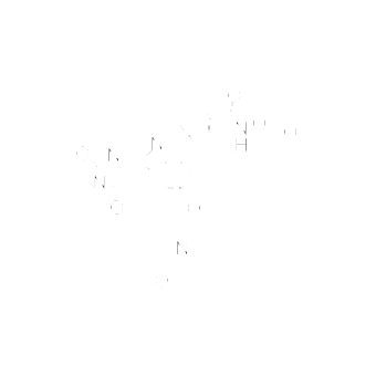 CN1C(=O)C2CN(Cc3c2c2cc(OCCN4CCOCC4)ccc2n3Cc2ccc(C(=O)NOC3CCCCO3)cc2)C1=O